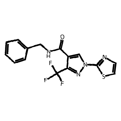 O=C(NCc1ccccc1)c1cn(-c2nccs2)nc1C(F)(F)F